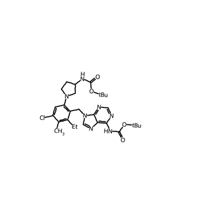 CCc1c(C)c(Cl)cc(N2CCC(NC(=O)OC(C)(C)C)C2)c1Cn1cnc2c(NC(=O)OC(C)(C)C)ncnc21